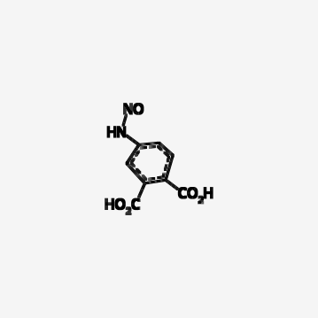 O=NNc1ccc(C(=O)O)c(C(=O)O)c1